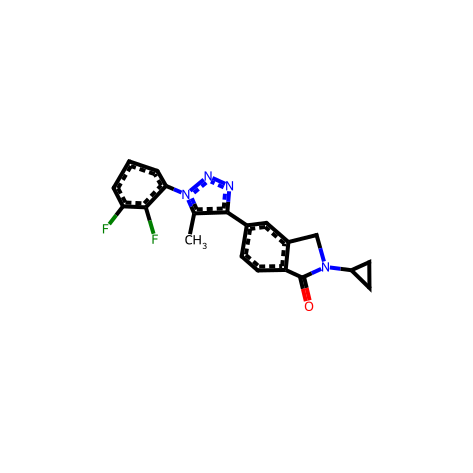 Cc1c(-c2ccc3c(c2)CN(C2CC2)C3=O)nnn1-c1cccc(F)c1F